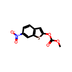 COC(=O)Oc1cc2ccc([N+](=O)[O-])cc2s1